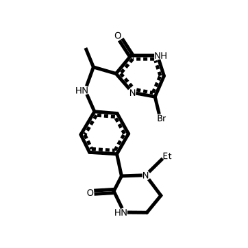 CCN1CCNC(=O)C1c1ccc(NC(C)c2nc(Br)c[nH]c2=O)cc1